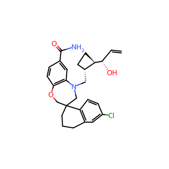 C=C[C@H](O)[C@@H]1CC[C@H]1CN1CC2(CCCc3cc(Cl)ccc32)COc2ccc(C(N)=O)cc21